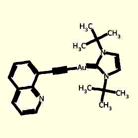 CC(C)(C)n1ccn(C(C)(C)C)[c]1=[Au][C]#Cc1cccc2cccnc12